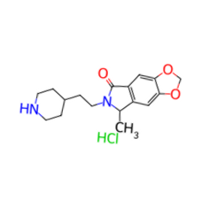 CC1c2cc3c(cc2C(=O)N1CCC1CCNCC1)OCO3.Cl